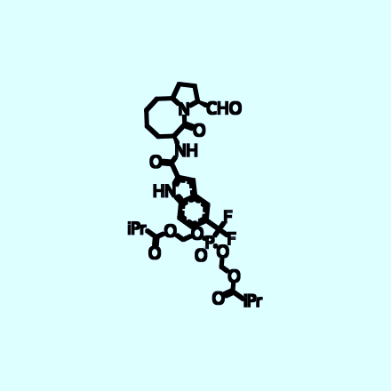 CC(C)C(=O)OCOP(=O)(OCOC(=O)C(C)C)C(F)(F)c1ccc2[nH]c(C(=O)N[C@H]3CCCCC4CC[C@@H](C=O)N4C3=O)cc2c1